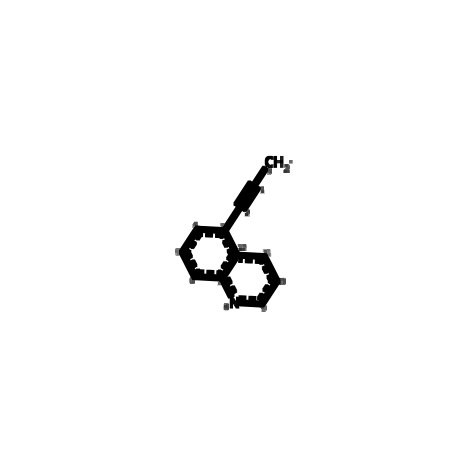 [CH2]C#Cc1cccc2ncccc12